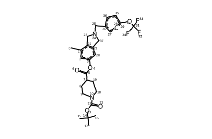 Cc1cc(OC(=O)C2CCN(C(=O)OC(C)(C)C)CC2)cc2c1CN(Cc1ccc(OC(F)(F)F)cc1)C2